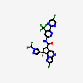 C[C@]1(c2cnn(C(F)F)c2)C[C@@H](C(=O)Nc2cnc(-c3ncc(F)cn3)c(C(F)(F)F)c2)c2cnc3cc(F)nn3c21